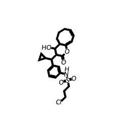 O=C1OC2=CC=CCCCC2C(O)C1C(c1cccc(NS(=O)(=O)CCCCl)c1)C1CC1